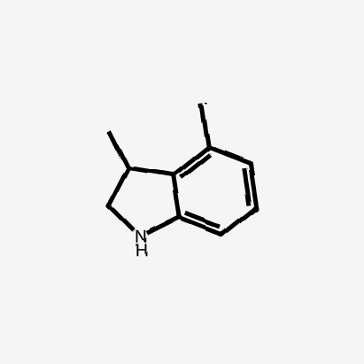 [CH2]c1cccc2c1C(C)CN2